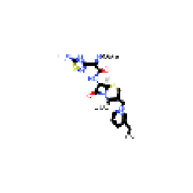 CO/N=C(\C(=O)N[C@@H]1C(=O)N2C(C(=O)[O-])=C(C[n+]3cccc(CC#N)c3)CS[C@H]12)c1nsc(N)n1